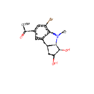 COC(=O)c1cc(Br)c2c(c1)C1CC(O)C(O)C1N2C(C)C